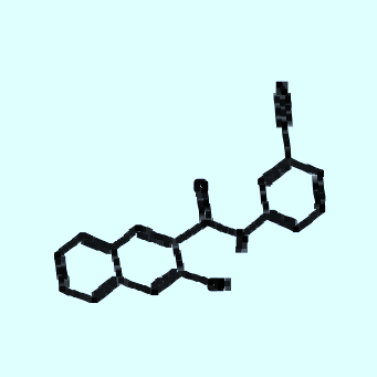 N#Cc1cccc(NC(=O)c2cc3ccccc3cc2O)c1